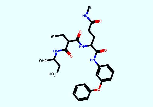 CCNC(=O)CCC(NC(=O)C(CC(C)C)C(=O)NC(C=O)CC(=O)O)C(=O)Nc1cccc(Oc2ccccc2)c1